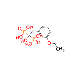 CCOc1cccc(CC(O)(P(=O)(O)O)P(=O)(O)O)c1